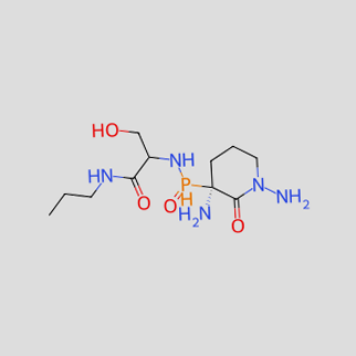 CCCNC(=O)C(CO)N[PH](=O)[C@@]1(N)CCCN(N)C1=O